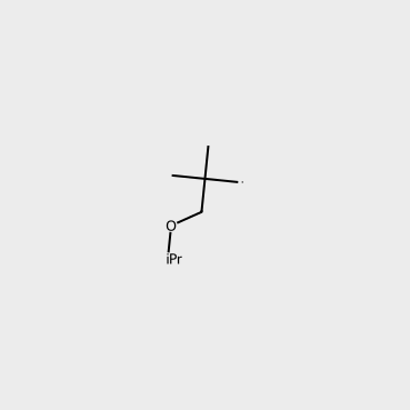 [CH2]C(C)(C)COC(C)C